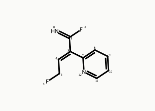 N=C(F)/C(=C/CF)c1ccccn1